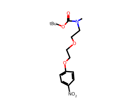 CN(CCOCCOc1ccc([N+](=O)[O-])cc1)C(=O)OC(C)(C)C